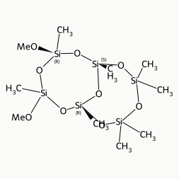 CO[Si]1(C)O[Si@@](C)(OC)O[Si@]2(C)O[Si](C)(C)O[Si](C)(C)O[Si@](C)(O1)O2